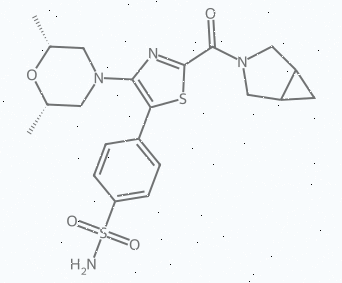 C[C@@H]1CN(c2nc(C(=O)N3CC4CC4C3)sc2-c2ccc(S(N)(=O)=O)cc2)C[C@H](C)O1